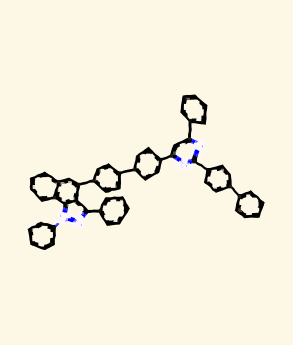 c1ccc(-c2ccc(-c3nc(-c4ccccc4)cc(-c4ccc(-c5ccc(-c6cc7ccccc7c7c6c(-c6ccccc6)nn7-c6ccccc6)cc5)cc4)n3)cc2)cc1